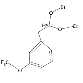 CCO[SiH](Cc1cccc(OC(F)(F)F)c1)OCC